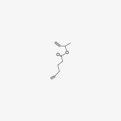 C#CCCCC(=O)OC(C)C#C